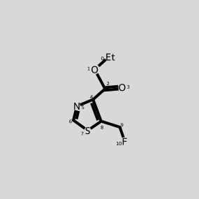 CCOC(=O)c1ncsc1CF